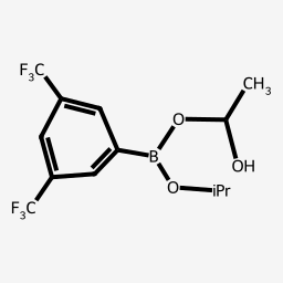 CC(C)OB(OC(C)O)c1cc(C(F)(F)F)cc(C(F)(F)F)c1